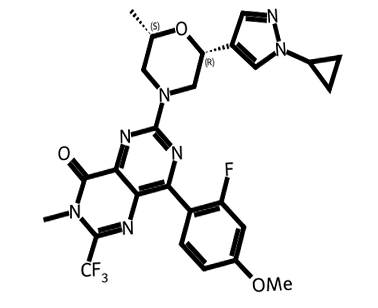 COc1ccc(-c2nc(N3C[C@@H](c4cnn(C5CC5)c4)O[C@@H](C)C3)nc3c(=O)n(C)c(C(F)(F)F)nc23)c(F)c1